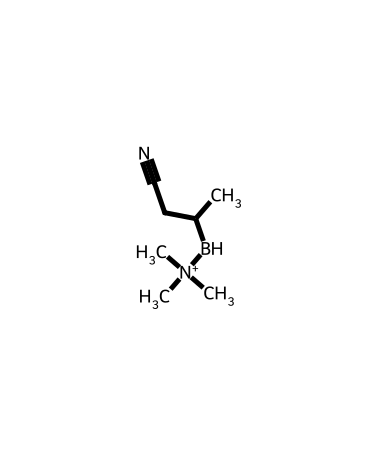 CC(B[N+](C)(C)C)CC#N